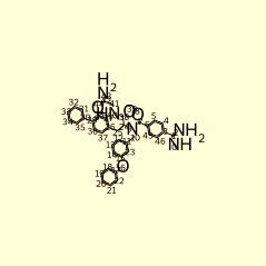 N=C(N)c1ccc(C(=O)N(Cc2cccc(Oc3ccccc3)c2)C(Cc2ccc(-c3ccccc3)cc2)C(=O)NCC(N)=O)cc1